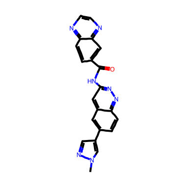 Cn1cc(-c2ccc3nnc(NC(=O)c4ccc5nccnc5c4)cc3c2)cn1